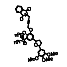 CCCOc1c(OCC#CCN2C(=O)c3ccccc3C2=O)cc(C2CCC(c3cc(OC)c(OC)c(OC)c3)O2)cc1S(=O)(=O)CCC